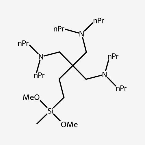 CCCN(CCC)CC(CC[Si](C)(OC)OC)(CN(CCC)CCC)CN(CCC)CCC